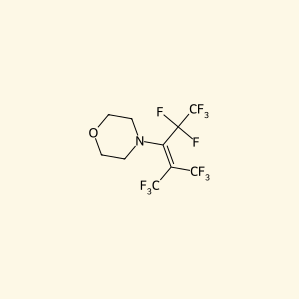 FC(F)(F)C(=C(N1CCOCC1)C(F)(F)C(F)(F)F)C(F)(F)F